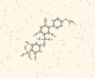 CCc1ccc(-c2c([O])cc(F)c(C(F)(F)Oc3cc(F)c(C(F)(F)F)c(F)c3)c2F)cc1